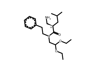 CCOC(CN(CCc1ccccc1)C(=O)[C@@H](CN)CC(C)C)OCC